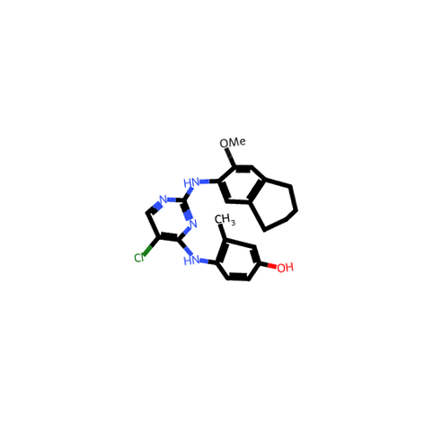 COc1cc2c(cc1Nc1ncc(Cl)c(Nc3ccc(O)cc3C)n1)CCCC2